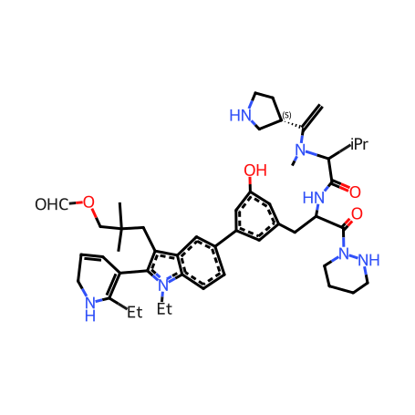 C=C([C@H]1CCNC1)N(C)C(C(=O)NC(Cc1cc(O)cc(-c2ccc3c(c2)c(CC(C)(C)COC=O)c(C2=C(CC)NCC=C2)n3CC)c1)C(=O)N1CCCCN1)C(C)C